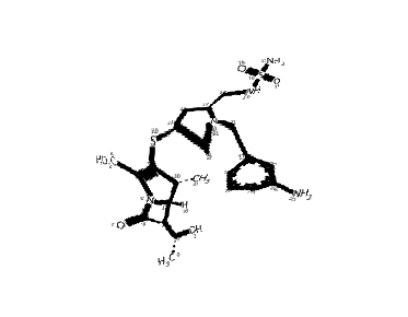 C[C@@H](O)[C@H]1C(=O)N2C(C(=O)O)=C(S[C@H]3C[C@@H](CNS(N)(=O)=O)N(Cc4cccc(N)c4)C3)[C@H](C)[C@H]12